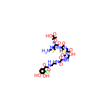 CC(C)(O/N=C(\C(=O)NC1C(=O)N2CC(C(=O)O)(N3CCN(NC(=O)C(=O)NCCCNC(=O)C(=O)c4ccc(O)c(O)c4Cl)C3=O)S[C@H]12)c1csc(N)n1)C(=O)O